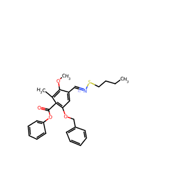 CCCCS/N=C/c1cc(OCc2ccccc2)c(C(=O)Oc2ccccc2)c(C)c1OC